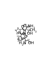 C[C@@H](O)[C@H](NC(=O)[C@@H]1CCCN1C(=O)[C@@H]1CSCN1C(=O)[C@@H](N)CO)C(N)=O